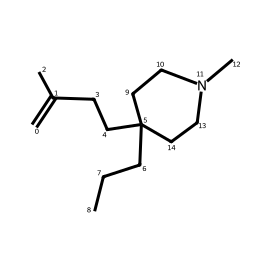 C=C(C)CCC1(CCC)CCN(C)CC1